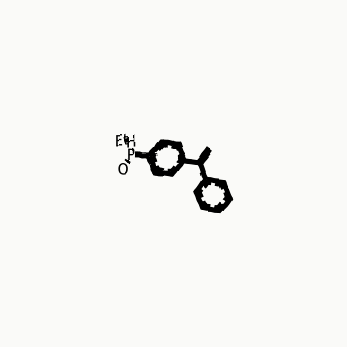 C=C(c1ccccc1)c1ccc([PH](=O)CC)cc1